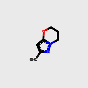 O=Cc1cc2n(n1)CCCO2